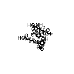 N[C@@H](CCCCNC(=O)CI)C(=O)O.O=C(O)CCCCCNSc1ccccc1[N+](=O)[O-].O=C(O)[C@H]1CC[C@@H](C(=O)O)NC1